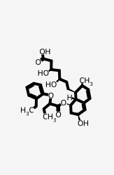 CCc1ccccc1OC(CC)C(=O)O[C@H]1C[C@H](O)C=C2C=C[C@H](C)[C@H](CC[C@@H](O)C[C@@H](O)CC(=O)O)[C@H]21